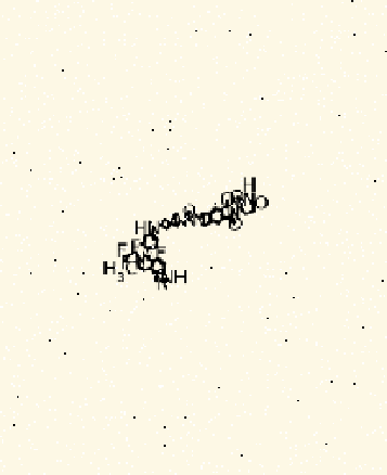 C[C@@H]1Cc2c(ccc3[nH]ncc23)[C@@H](c2c(F)cc(NC3CC4(C3)CN(C(=O)CN3Cc5cc6c(cc5C3)C(=O)N(C3CCC(=O)NC3=O)C6=O)C4)cc2F)N1CC(F)F